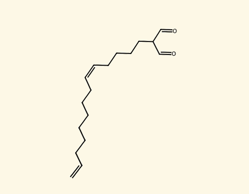 C=CCCCCCC/C=C\CCCCC(C=O)C=O